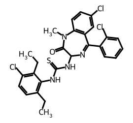 CCc1ccc(Cl)c(CC)c1NC(=S)NC1N=C(c2ccccc2Cl)c2cc(Cl)ccc2N(C)C1=O